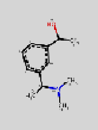 CC(c1cccc(C(O)C(F)(F)F)c1)N(C)C